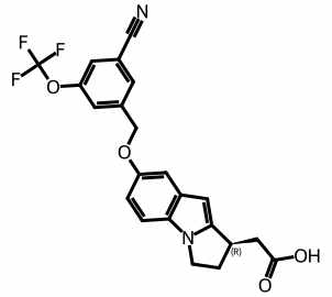 N#Cc1cc(COc2ccc3c(c2)cc2n3CC[C@@H]2CC(=O)O)cc(OC(F)(F)F)c1